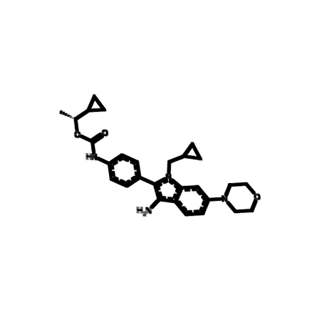 C[C@@H](OC(=O)Nc1ccc(-c2c(N)c3ccc(N4CCOCC4)cc3n2CC2CC2)cc1)C1CC1